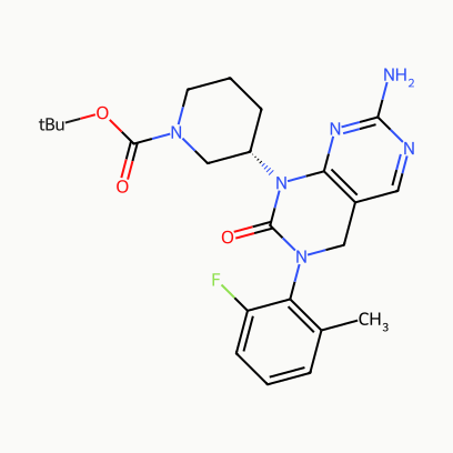 Cc1cccc(F)c1N1Cc2cnc(N)nc2N([C@H]2CCCN(C(=O)OC(C)(C)C)C2)C1=O